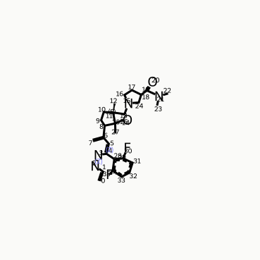 C=C/N=N\C(=C/C(=C)C1CC[C@](C)(C(=O)N2CCC(C(=O)N(C)C)C2)C1(C)C)c1c(F)cccc1F